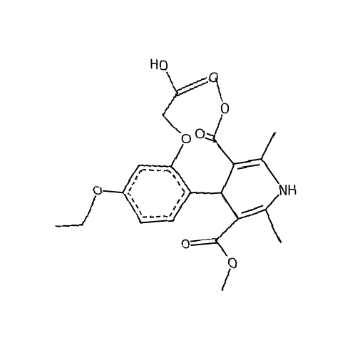 CCOc1ccc(C2C(C(=O)OC)=C(C)NC(C)=C2C(=O)OC)c(OCC(=O)O)c1